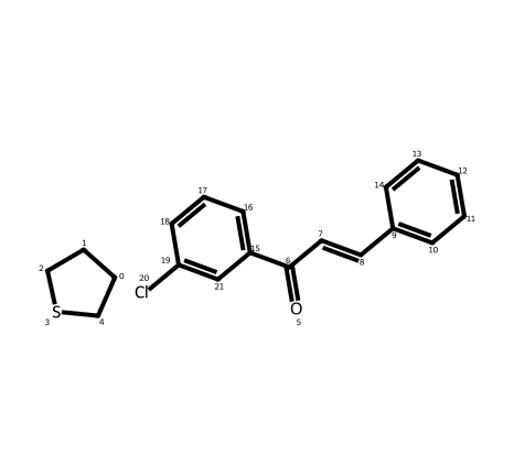 C1CCSC1.O=C(C=Cc1ccccc1)c1cccc(Cl)c1